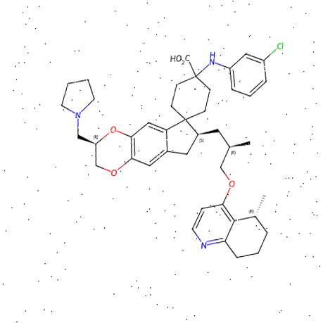 C[C@@H](COc1ccnc2c1[C@H](C)CCC2)C[C@H]1Cc2cc3c(cc2C12CCC(Nc1cccc(Cl)c1)(C(=O)O)CC2)O[C@H](CN1CCCC1)CO3